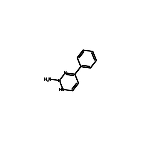 NN1N=C(c2ccccc2)C=CN1